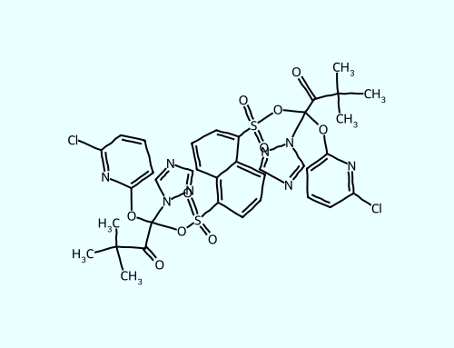 CC(C)(C)C(=O)C(Oc1cccc(Cl)n1)(OS(=O)(=O)c1cccc2c(S(=O)(=O)OC(Oc3cccc(Cl)n3)(C(=O)C(C)(C)C)n3cncn3)cccc12)n1cncn1